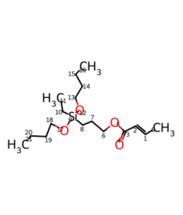 CC=CC(=O)OCCC[Si](CC)(OCCCC)OCCCC